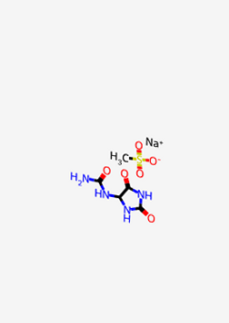 CS(=O)(=O)[O-].NC(=O)NC1NC(=O)NC1=O.[Na+]